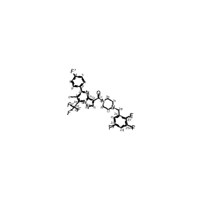 Cc1c(-c2ccc(F)cc2)nc2c(C(=O)N3CCN(Cc4cc(F)cc(F)c4F)CC3)cnn2c1C(F)(F)F